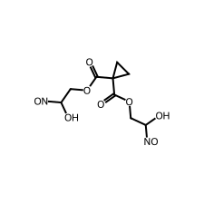 O=NC(O)COC(=O)C1(C(=O)OCC(O)N=O)CC1